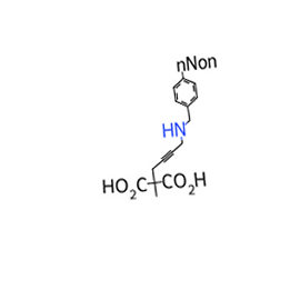 CCCCCCCCCc1ccc(CNCC#CCC(C)(C(=O)O)C(=O)O)cc1